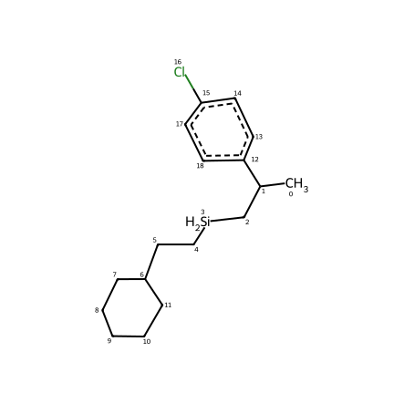 CC(C[SiH2]CCC1CCCCC1)c1ccc(Cl)cc1